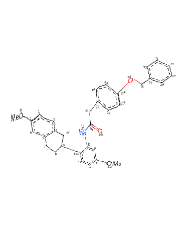 COc1ccc2c(c1)CCC(c1ccc(OC)cc1NC(=O)Cc1ccc(OCc3ccccc3)cc1)C2